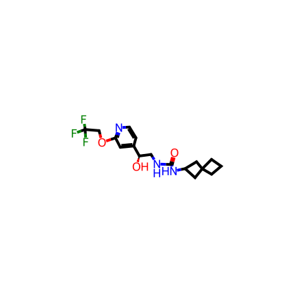 O=C(NC[C@@H](O)c1ccnc(OCC(F)(F)F)c1)NC1CC2(CCC2)C1